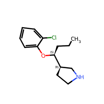 CCC[C@H](Oc1ccccc1Cl)[C@@H]1CCNC1